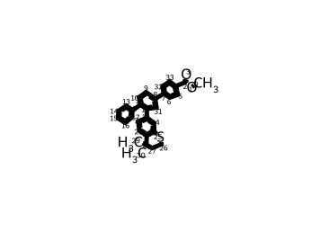 COC(=O)c1ccc(-c2ccc(-c3ccccc3)c(-c3ccc4c(c3)SCCC4(C)C)c2)cc1